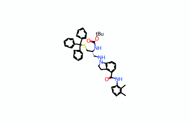 Cc1cccc(NC(=O)c2cccc3c2CCN3NC[C@H](CSC(c2ccccc2)(c2ccccc2)c2ccccc2)NC(=O)OC(C)(C)C)c1C